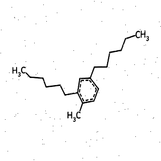 CCCCCCc1ccc(C)c(CCCCCC)c1